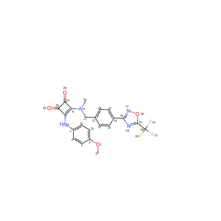 COc1ccc(Nc2c(N(C)Cc3ccc(-c4noc(C(F)(F)F)n4)cc3)c(=O)c2=O)cc1